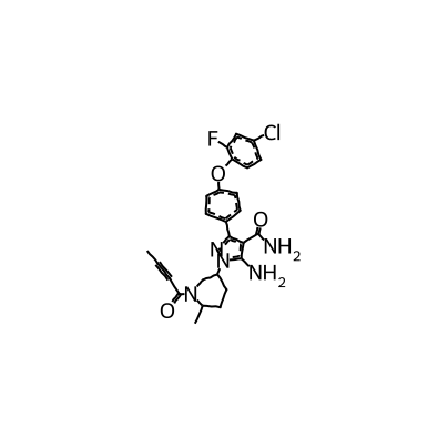 CC#CC(=O)N1CC(n2nc(-c3ccc(Oc4ccc(Cl)cc4F)cc3)c(C(N)=O)c2N)CCC1C